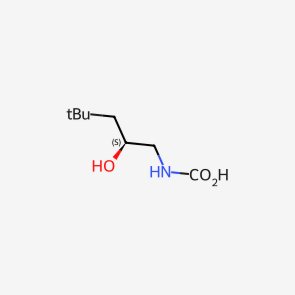 CC(C)(C)C[C@H](O)CNC(=O)O